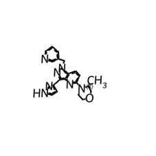 C[C@@H]1COCCN1c1ccc2c(n1)c(-c1cc[nH]n1)nn2Cc1cccnc1